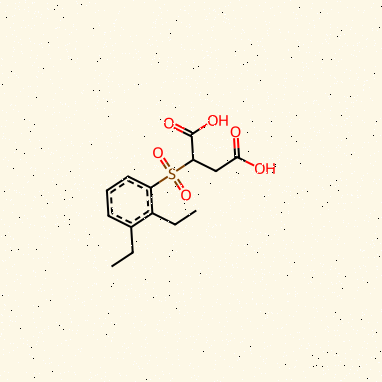 CCc1cccc(S(=O)(=O)C(CC(=O)O)C(=O)O)c1CC